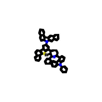 CCC1/C(c2cc(-n3c4cc5ccccc5cc4c4c5ccccc5ccc43)cc3c2sc2c4ccccc4ccc32)=C\CC/C(c2cccc3c2c2ccccc2n3-c2ccccc2)=N\C1c1ccccc1